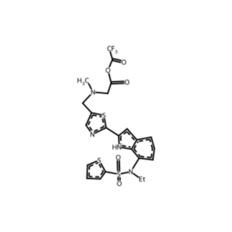 CCN(c1cccc2cc(-c3ncc(CN(C)CC(=O)OC(=O)C(F)(F)F)s3)[nH]c12)S(=O)(=O)c1cccs1